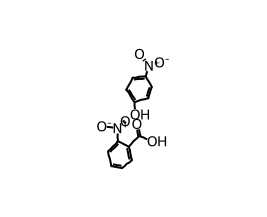 O=C(O)c1ccccc1[N+](=O)[O-].O=[N+]([O-])c1ccc(O)cc1